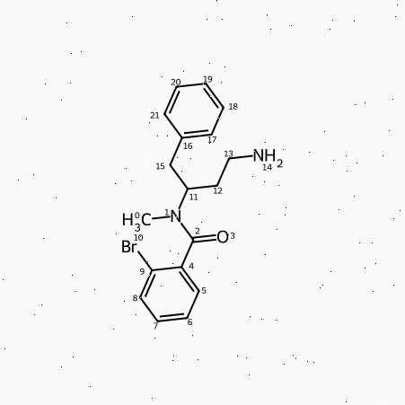 CN(C(=O)c1ccccc1Br)C(CCN)Cc1ccccc1